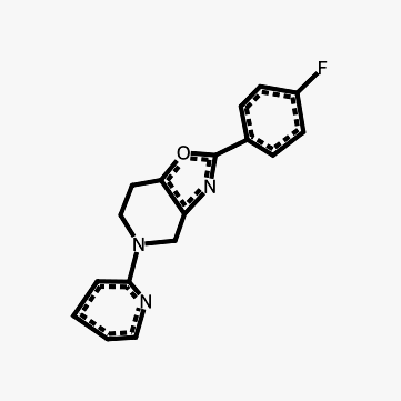 Fc1ccc(-c2nc3c(o2)CCN(c2ccccn2)C3)cc1